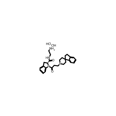 Cl.Cl.NCCNC(=O)[C@@H]1Cc2ccccc2N1C(=O)CCN1CCC2(CCc3ccccc32)CC1